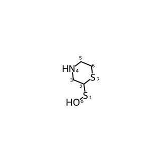 OSC1CNCCS1